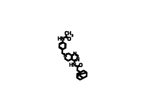 CC(=O)Nc1ccc(CN2CCc3c(ncnc3NC(=O)CC34CC5CC(CC(C5)C3)C4)C2)cc1